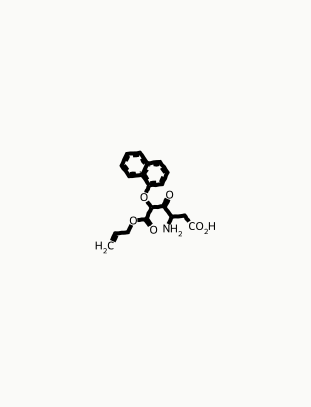 C=CCOC(=O)C(Oc1cccc2ccccc12)C(=O)C(N)CC(=O)O